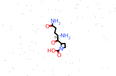 NC(=O)CC[C@H](N)C(=O)C1CCN1C(=O)O